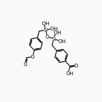 O=COc1ccc(C[Si](O)(O)O[Si](O)(O)Cc2ccc(C(=O)O)cc2)cc1